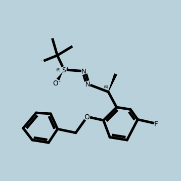 [CH2]C(C)(C)[S@+]([O-])N=N[C@@H](C)c1cc(F)ccc1OCc1ccccc1